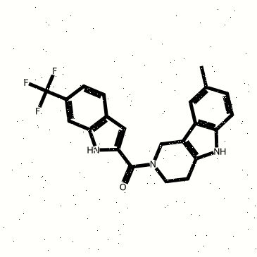 Cc1ccc2[nH]c3c(c2c1)CN(C(=O)c1cc2ccc(C(F)(F)F)cc2[nH]1)CC3